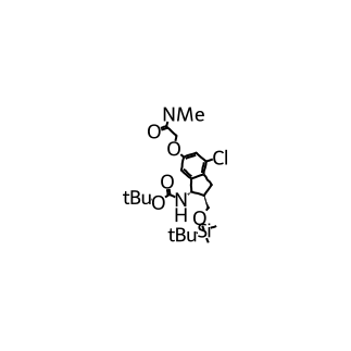 CNC(=O)COc1cc(Cl)c2c(c1)[C@@H](NC(=O)OC(C)(C)C)[C@H](CO[Si](C)(C)C(C)(C)C)C2